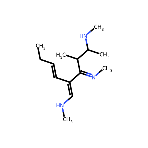 CC/C=C/C(=C\NC)C(=N/C)/C(C)C(C)NC